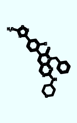 Cc1nc(-c2ccc(-c3cc4cnc(NC5CCOCC5)nc4n(Cc4ccccc4)c3=O)c(Cl)c2)no1